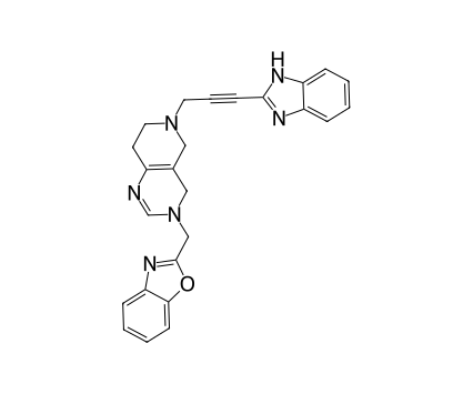 C(#Cc1nc2ccccc2[nH]1)CN1CCC2=C(CN(Cc3nc4ccccc4o3)C=N2)C1